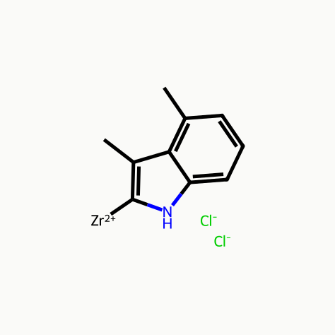 Cc1cccc2[nH][c]([Zr+2])c(C)c12.[Cl-].[Cl-]